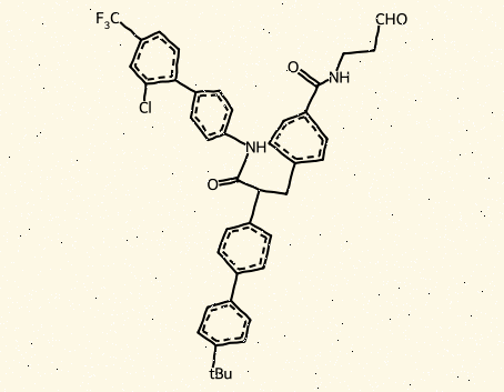 CC(C)(C)c1ccc(-c2ccc(C(Cc3ccc(C(=O)NCCC=O)cc3)C(=O)Nc3ccc(-c4ccc(C(F)(F)F)cc4Cl)cc3)cc2)cc1